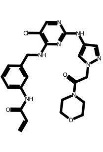 C=CC(=O)Nc1cccc(CNc2nc(Nc3cnn(CC(=O)N4CCOCC4)c3)ncc2Cl)c1